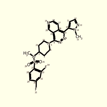 CN(C1CCN(c2nnc(-c3ccnn3C)c3ccncc23)CC1)S(=O)(=O)c1ccc(F)cc1F